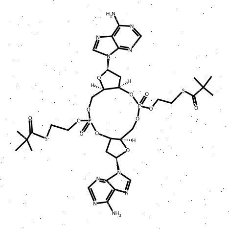 CC(C)(C)C(=O)SCCOP1(=O)OC[C@H]2O[C@@H](n3cnc4c(N)ncnc43)C[C@H]2OP(=O)(OCCSC(=O)C(C)(C)C)OC[C@H]2O[C@@H](n3cnc4c(N)ncnc43)CC2O1